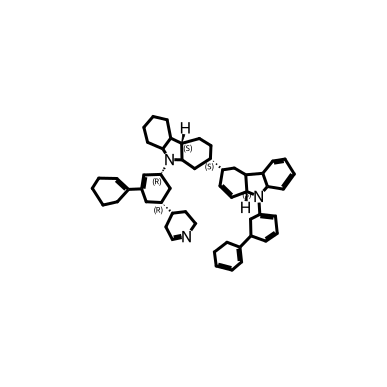 C1=CCCC(C2C=CC=C(N3C4C=CC=CC4C4CC([C@H]5CC[C@H]6C7CCCCC7N([C@H]7C=C(C8=CCCCC8)C[C@@H](C8CC=NCC8)C7)C6C5)C=C[C@H]43)C2)=C1